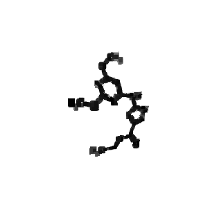 CCOC(=O)c1cnc(Nc2cc(OC)nc(OC)n2)s1